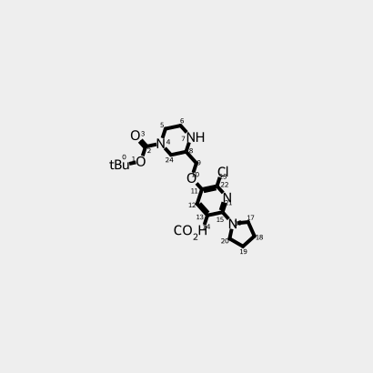 CC(C)(C)OC(=O)N1CCNC(COc2cc(C(=O)O)c(N3CCCC3)nc2Cl)C1